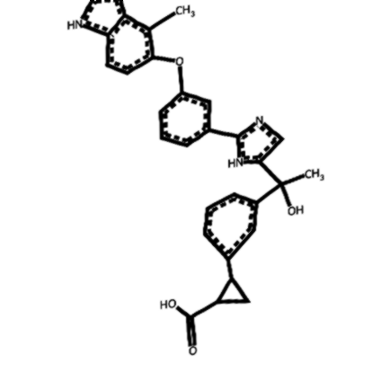 Cc1c(Oc2cccc(-c3ncc(C(C)(O)c4cccc(C5CC5C(=O)O)c4)[nH]3)c2)ccc2[nH]ccc12